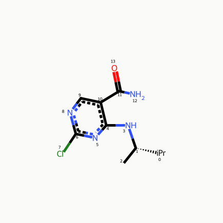 CC(C)[C@H](C)Nc1nc(Cl)ncc1C(N)=O